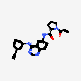 C#Cc1cccc(Nc2ncnc3ccc(NC(=O)[C@@H]4CCCN4C(=O)C=C)cc23)c1